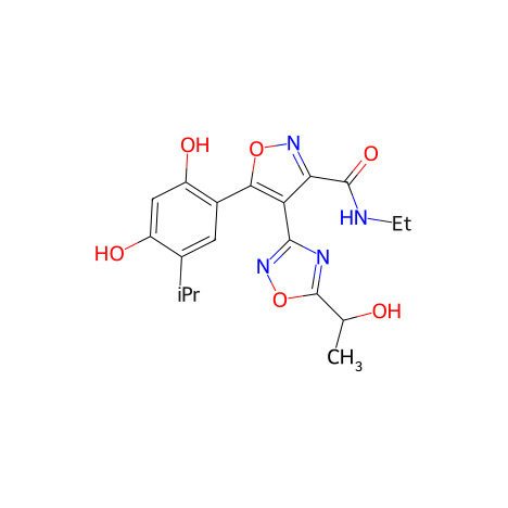 CCNC(=O)c1noc(-c2cc(C(C)C)c(O)cc2O)c1-c1noc(C(C)O)n1